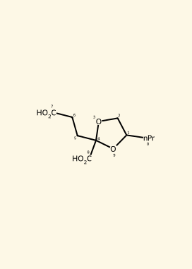 CCCC1COC(CCC(=O)O)(C(=O)O)O1